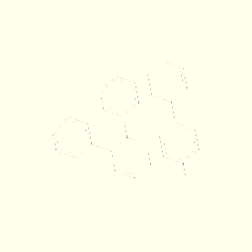 C1=CC(c2ccccc2)C(c2ccccc2)CC1.Clc1ccc(C2C=CCCC2)cc1